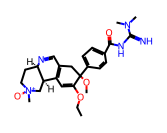 CCOC1=CC2=C(C=N[C@@H]3CC[N+](C)([O-])C[C@H]23)CC1(OC)c1ccc(C(=O)NC(=N)N(C)C)cc1